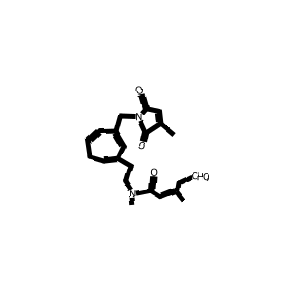 CC1=CC(=O)N(CC2=CC(CCN(C)C(=O)/C=C(/C)CC=O)=CCC=C2)C1=O